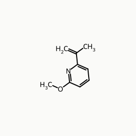 C=C(C)c1cccc(OC)n1